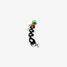 CC1CCC(C2CCC(C3CCC(C4CCC(OC(F)(F)F)C(F)C4)C(F)C3)CC2)CC1